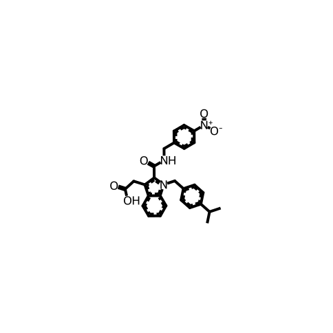 CC(C)c1ccc(Cn2c(C(=O)NCc3ccc([N+](=O)[O-])cc3)c(CC(=O)O)c3ccccc32)cc1